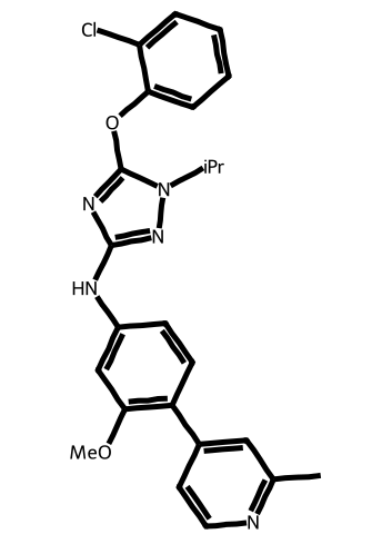 COc1cc(Nc2nc(Oc3ccccc3Cl)n(C(C)C)n2)ccc1-c1ccnc(C)c1